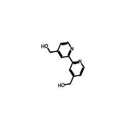 OCc1ccnc(-c2cc(CO)ccn2)c1